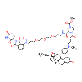 CC#C[C@]12CC[C@H]3[C@@H]4CCC5=CC(=O)CCC5=C4[C@@H](c4ccc(N(C)CCCC(=O)N5CCN(C(=O)OC(C)(C)C)CC5C(=O)NCCCOCCOCCOCCCNc5cccc6c5C(O)N(C5CCC(=O)NC5=O)C6=O)cc4)C[C@@]31CO2